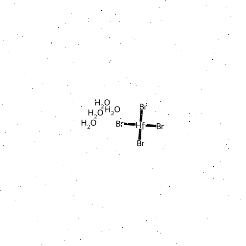 O.O.O.O.[Br][Hf]([Br])([Br])[Br]